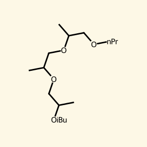 CCCOCC(C)OCC(C)OCC(C)OCC(C)C